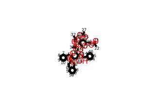 C=CCO[C@]1(Cc2ccccc2)O[C@H](CO[C@@H]2O[C@H](COC(C)=O)[C@@H](OC(C)=O)[C@H](OC(C)=O)[C@H]2OC(C)=O)[C@@H](OCc2ccccc2)[C@H](O)[C@H]1OCc1ccccc1